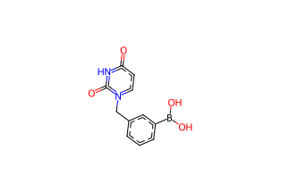 O=c1ccn(Cc2cccc(B(O)O)c2)c(=O)[nH]1